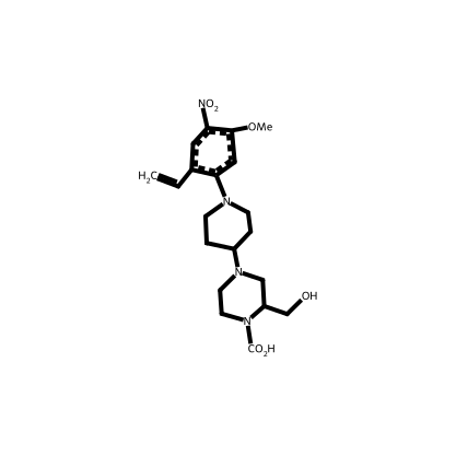 C=Cc1cc([N+](=O)[O-])c(OC)cc1N1CCC(N2CCN(C(=O)O)C(CO)C2)CC1